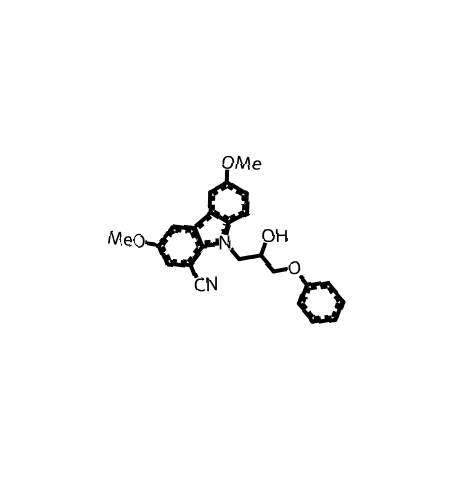 COc1ccc2c(c1)c1cc(OC)cc(C#N)c1n2CC(O)COc1ccccc1